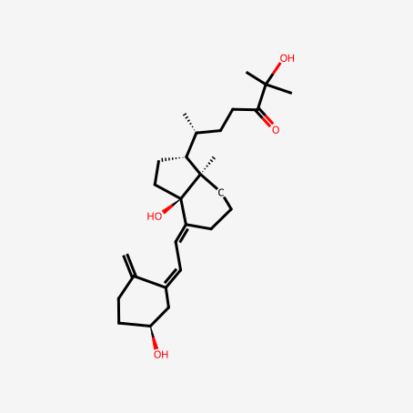 C=C1CC[C@H](O)C/C1=C/C=C1\CCC[C@]2(C)[C@@H]([C@H](C)CCC(=O)C(C)(C)O)CC[C@@]12O